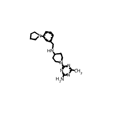 Cc1nc(N)nc(N2CCC(NCc3cccc(N4CCCC4)c3)CC2)n1